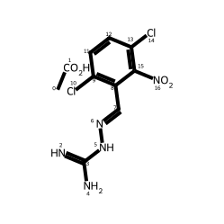 CC(=O)O.N=C(N)N/N=C/c1c(Cl)ccc(Cl)c1[N+](=O)[O-]